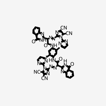 Cc1cc(NC(=O)C(N=Nc2nc(C#N)c(C#N)n2-c2ncccn2)c2nc3ccccc3c(=O)[nH]2)c(I)cc1NC(=O)C(N=Nc1nc(C#N)c(C#N)n1-c1ncccn1)c1nc2ccccc2c(=O)[nH]1